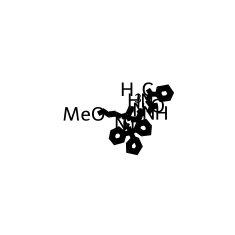 COCC=Cc1nn(C(c2ccccc2)(c2ccccc2)c2ccccc2)c2cc(NC(=O)NC(C)c3ccccc3)ncc12